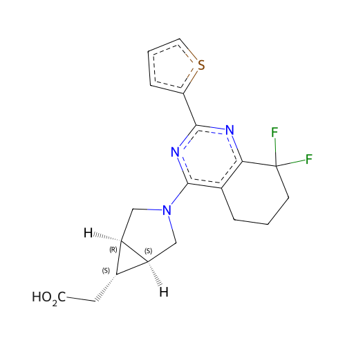 O=C(O)C[C@@H]1[C@H]2CN(c3nc(-c4cccs4)nc4c3CCCC4(F)F)C[C@@H]12